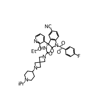 CCOc1ncccc1[C@]1(NC(=O)N2CC3(C2)CN(C2CCN(C(C)C)CC2)C3)C(=O)N(S(=O)(=O)c2ccc(F)cc2)c2ccc(C#N)cc21